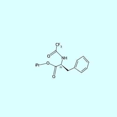 CC(C)OC(=O)[C@H](Cc1ccccc1)NC(=O)C(F)(F)F